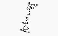 CC(NC(=O)CCOCCOCCNC(=O)CCN1C(=O)CC(C(C)C)C1=O)C(=O)O